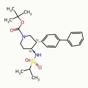 CC(C)S(=O)(=O)N[C@H]1CCN(C(=O)OC(C)(C)C)C[C@@H]1c1ccc(-c2ccccc2)cc1